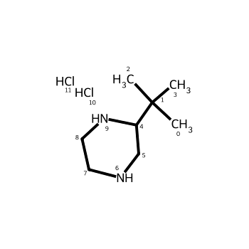 CC(C)(C)C1CNCCN1.Cl.Cl